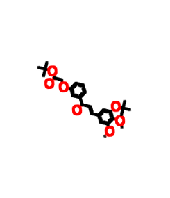 COc1cc(C=CC(=O)c2cccc(OCC(=O)OC(C)(C)C)c2)cc(OC(C)(C)C)c1OC